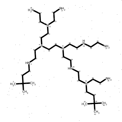 CC(C)(C)CCNCCN(CCN(CCN)CCN)CCN(CCNCCN)CCNCCN(CCN)CCC(C)(C)C